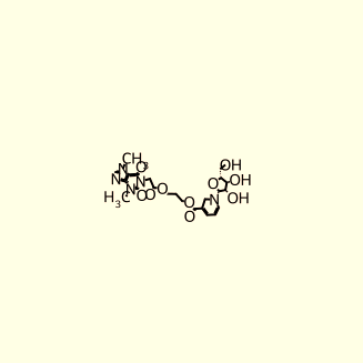 Cn1cnc2c1c(=O)n(CC(=O)OCCCOC(=O)C1=CC=CN([C@@H]3O[C@H](CO)[C@@H](O)[C@H]3O)C1)c(=O)n2C